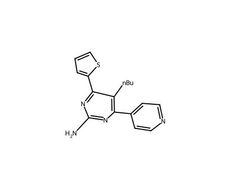 CCCCc1c(-c2ccncc2)nc(N)nc1-c1cccs1